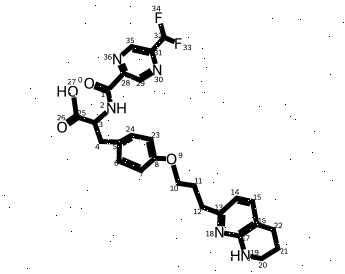 O=C(NC(Cc1ccc(OCCCc2ccc3c(n2)NCCC3)cc1)C(=O)O)c1cnc(C(F)F)cn1